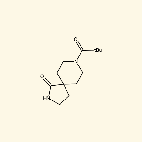 CC(C)(C)C(=O)N1CCC2(CCNC2=O)CC1